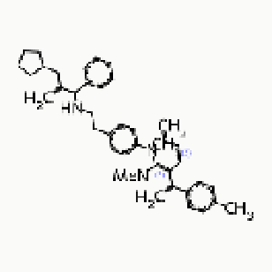 C=C/C=C\C(C(=C)c1ccc(C)cc1)=C(\NC)N(C)c1ccc(CCNC(C(=C)CC2CCCC2)c2ccccc2)cc1